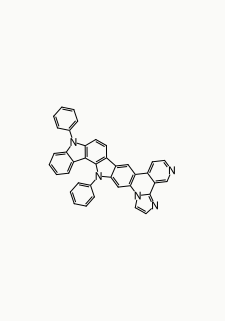 c1ccc(-n2c3ccccc3c3c2ccc2c4cc5c6ccncc6c6nccn6c5cc4n(-c4ccccc4)c23)cc1